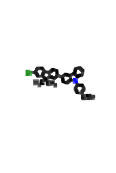 COc1ccc(-n2c3ccccc3c3cc(-c4ccc5c(c4)C(C)(C)c4cc(Br)ccc4-5)ccc32)cc1